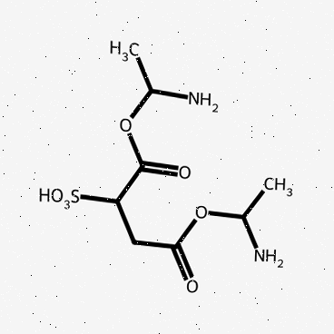 CC(N)OC(=O)CC(C(=O)OC(C)N)S(=O)(=O)O